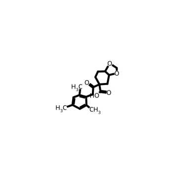 Cc1cc(C)c(CC(=O)C2(C(=O)O)CCC3OCOC3C2)c(C)c1